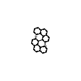 Brc1ccc2ccc3ccccc3c2c1-c1c(Br)ccc2ccc3ccccc3c12